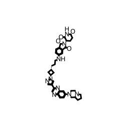 O=C1CCC(N2C(=O)c3ccc(NCCC[C@H]4C[C@H](n5cc(-c6cnc7ccc(N8CCN9CCCC9C8)cc7n6)cn5)C4)cc3C2=O)C(=O)N1